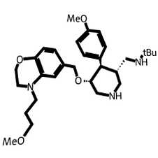 COCCCN1CCOc2ccc(CO[C@H]3CNC[C@@H](CNC(C)(C)C)[C@@H]3c3ccc(OC)cc3)cc21